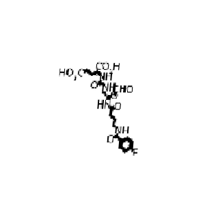 O=CO[C@H](CNC(=O)N[C@@H](CCC(=O)O)C(=O)O)NC(=O)CCCNC(=O)c1ccc(F)cc1